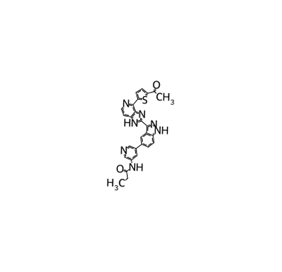 CCC(=O)Nc1cncc(-c2ccc3[nH]nc(-c4nc5c(-c6ccc(C(C)=O)s6)nccc5[nH]4)c3c2)c1